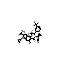 N#CC1(N(C(=O)c2cc3cc(C(N)=O)n(C4CC4)c3cc2Cl)C(c2cccc(C(F)(F)F)c2)C(F)(F)F)CC1